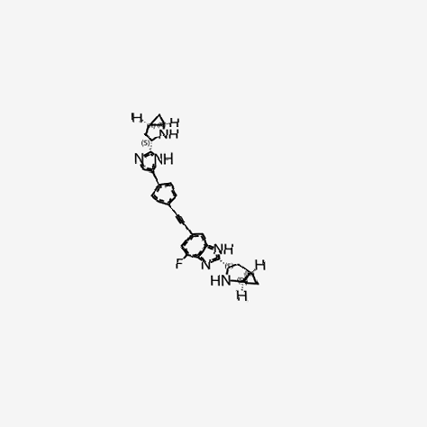 Fc1cc(C#Cc2ccc(-c3cnc([C@@H]4C[C@H]5C[C@H]5N4)[nH]3)cc2)cc2[nH]c([C@@H]3C[C@H]4C[C@H]4N3)nc12